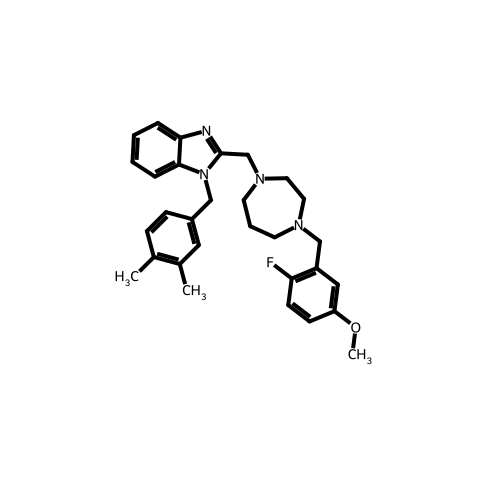 COc1ccc(F)c(CN2CCCN(Cc3nc4ccccc4n3Cc3ccc(C)c(C)c3)CC2)c1